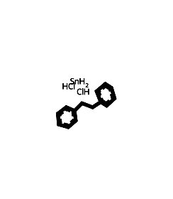 Cl.Cl.[SnH2].c1ccc(CCc2ccccc2)cc1